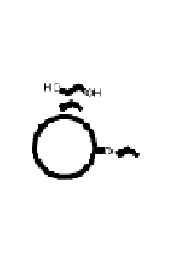 C=CC.C=CC.O=C1CCCCCCCCCCCCCC1.OCCO